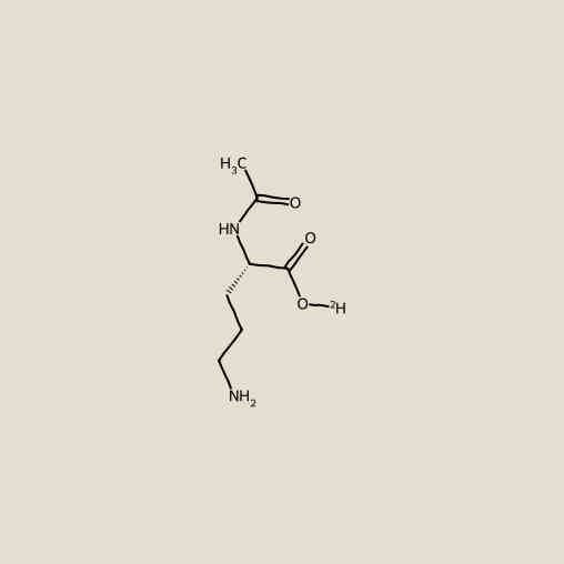 [2H]OC(=O)[C@H](CCCN)NC(C)=O